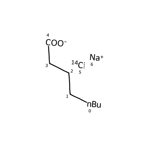 CCCCCCCC(=O)[O-].[14C].[Na+]